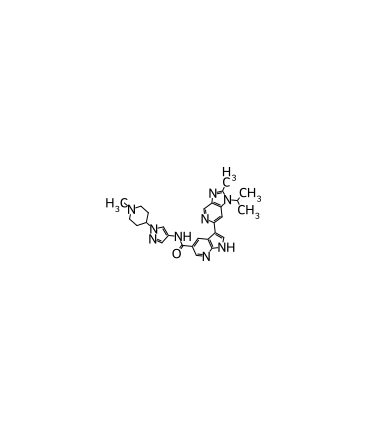 Cc1nc2cnc(-c3c[nH]c4ncc(C(=O)Nc5cnn(C6CCN(C)CC6)c5)cc34)cc2n1C(C)C